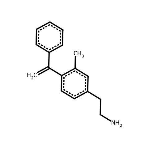 C=C(c1ccccc1)c1ccc(CCN)cc1C